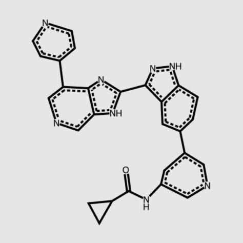 O=C(Nc1cncc(-c2ccc3[nH]nc(-c4nc5c(-c6ccncc6)cncc5[nH]4)c3c2)c1)C1CC1